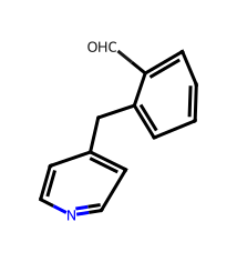 O=Cc1ccccc1Cc1ccncc1